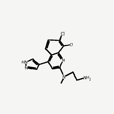 CN(CCN)c1cc(-c2cn[nH]c2)c2ccc(Cl)c(Cl)c2n1